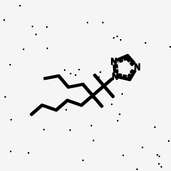 CCCCCC(C)(CCCC)C(C)(C)n1cncn1